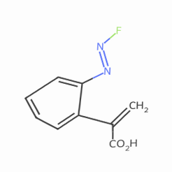 C=C(C(=O)O)c1ccccc1N=NF